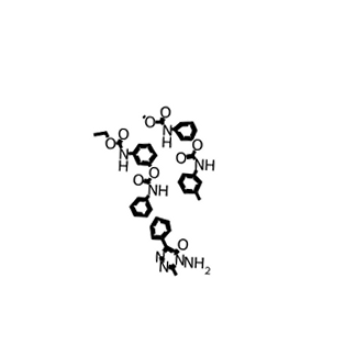 CCOC(=O)Nc1cccc(OC(=O)Nc2ccccc2)c1.COC(=O)Nc1cccc(OC(=O)Nc2cccc(C)c2)c1.Cc1nnc(-c2ccccc2)c(=O)n1N